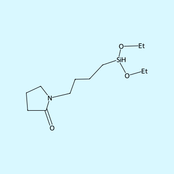 CCO[SiH](CCCCN1CCCC1=O)OCC